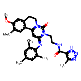 CCOc1cc2c(cc1OC)-c1c/c(=N\c3c(C)cc(C)cc3C)n(CCNC(=O)c3[nH]nnc3C(F)(F)F)c(=O)n1CC2